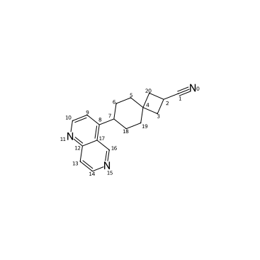 N#CC1CC2(CCC(c3ccnc4ccncc34)CC2)C1